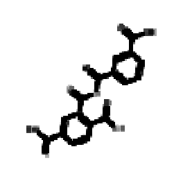 O=C(O)c1cccc(C(=O)OC(=O)c2cc(C(=O)O)ccc2C(=O)O)c1